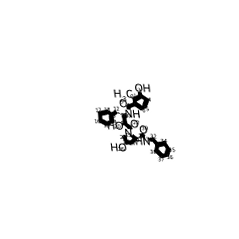 Cc1c(O)cccc1C(=O)N[C@@H](Cc1ccccc1)[C@H](O)C(=O)N1C[C@H](O)C[C@H]1C(=O)NCc1ccccc1